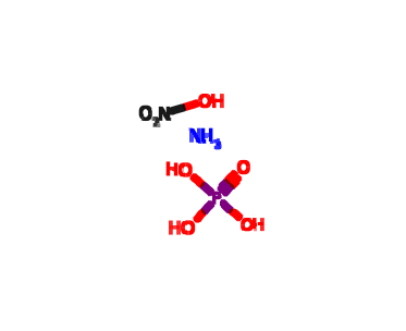 N.O=P(O)(O)O.O=[N+]([O-])O